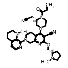 C=CC(=O)N1CCN(c2c(C#N)c(OC[C@@H]3CCCN3C)nc3c2CCN(c2nccc4c2N(C)CCC4)C3)C[C@@H]1CC#N